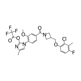 COc1cc(C(=O)N2CC(COc3ccc(F)c(C)c3Cl)C2)ccc1-n1cc(C)nc1OC(=O)C(F)(F)F